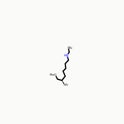 CCC[C@H](CCCCCNCC(C)(C)C)COC